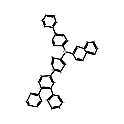 c1ccc(-c2ccc(N(c3ccc(-c4ccc(-c5ccccc5)c(-c5ccccc5)c4)cc3)c3ccc4ccccc4c3)cc2)cc1